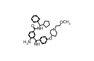 COCCN1CCC(Oc2ccc(C(=N)c3cc(C(=O)NC(c4ccccc4)C4CCCC4)ccc3N)cc2)CC1